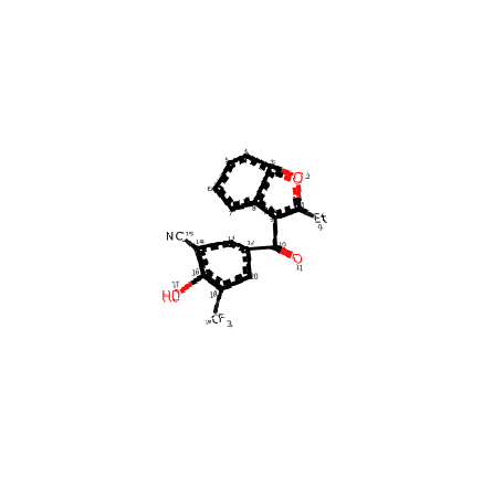 CCc1oc2ccccc2c1C(=O)c1cc(C#N)c(O)c(C(F)(F)F)c1